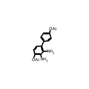 CC(=O)Oc1ccc(-c2ccc(OC(C)=O)c(N)c2N)cc1